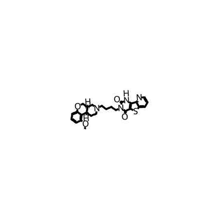 COc1cccc2c1[C@@H]1CCN(CCCCn3c(=O)[nH]c4c(sc5cccnc54)c3=O)C[C@H]1CO2